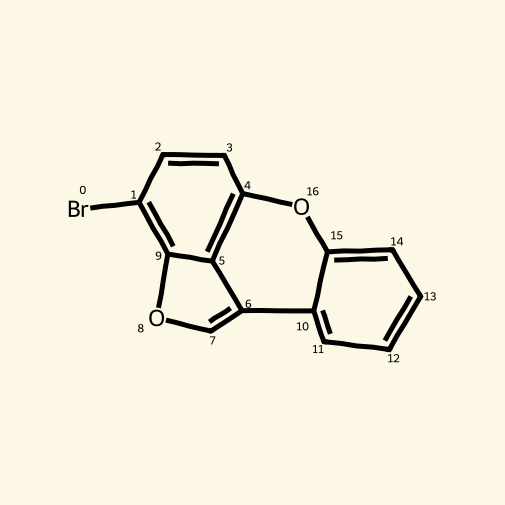 Brc1ccc2c3c(coc13)-c1ccccc1O2